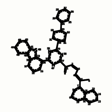 C=C(/C=C\C=C(/C)c1cccc2ccccc12)c1nc(-c2ccc(-c3ccccc3)cc2)nc(-c2cccc3c2sc2ccccc23)n1